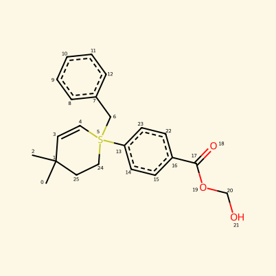 CC1(C)C=CS(Cc2ccccc2)(c2ccc(C(=O)OCO)cc2)CC1